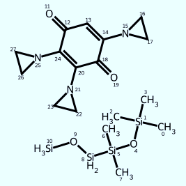 C[Si](C)(C)O[Si](C)(C)[SiH2]O[SiH3].O=C1C=C(N2CC2)C(=O)C(N2CC2)=C1N1CC1